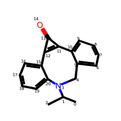 CC(C)N1Cc2ccccc2-c2c(c2=O)-c2ccccc21